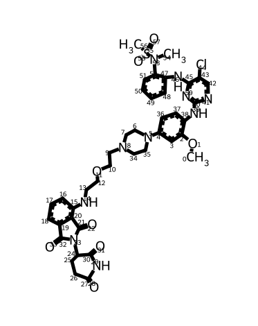 COc1cc(N2CCN(CCOCCNc3cccc4c3C(=O)N(C3CCC(=O)NC3=O)C4=O)CC2)ccc1Nc1ncc(Cl)c(Nc2ccccc2N(C)S(C)(=O)=O)n1